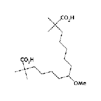 COC(CCCCCC(C)(C)C(=O)O)CCCCC(C)(C)C(=O)O